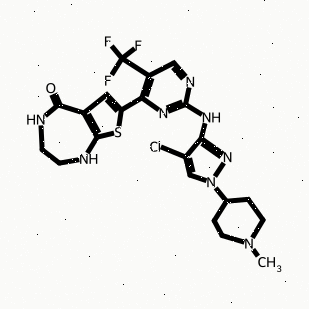 CN1CCC(n2cc(Cl)c(Nc3ncc(C(F)(F)F)c(-c4cc5c(s4)NCCNC5=O)n3)n2)CC1